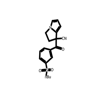 CCCCS(=O)(=O)c1cccc(C(=O)C2(C#N)CCn3cccc32)c1